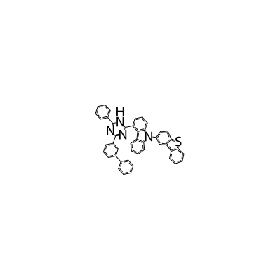 c1ccc(C2=NC(c3cccc(-c4ccccc4)c3)=NC(c3cccc4c3c3ccccc3n4-c3ccc4sc5ccccc5c4c3)N2)cc1